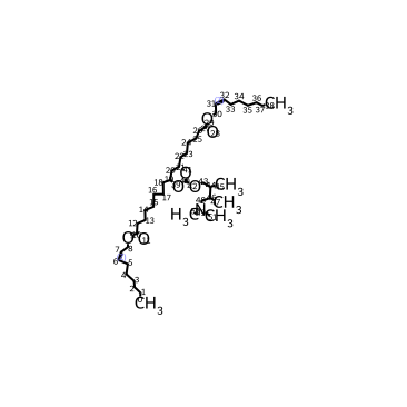 CCCCCC/C=C\COC(=O)CCCCCCCC(CCCCCCCC(=O)OC/C=C\CCCCCC)OC(=O)OCC(C)C(C)CN(C)C